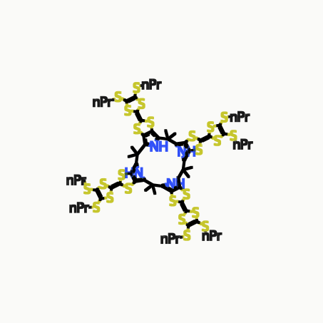 CCCSC1=C(SCCC)SC(=C2Sc3c4[nH]c(c3S2)C(C)(C)c2[nH]c(c3c2SC(=C2SC(SCCC)=C(SCCC)S2)S3)C(C)(C)c2[nH]c(c3c2SC(=C2SC(SCCC)=C(SCCC)S2)S3)C(C)(C)c2[nH]c(c3c2SC(=C2SC(SCCC)=C(SCCC)S2)S3)C4(C)C)S1